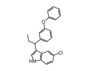 [CH2]CC(c1cccc(Oc2ccccc2)c1)c1c[nH]c2ccc(Cl)cc12